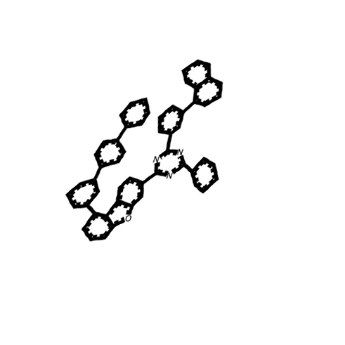 c1ccc(-c2ccc(-c3cccc(-c4cccc5oc6cc(-c7nc(-c8ccccc8)nc(-c8cccc(-c9cccc%10ccccc9%10)c8)n7)ccc6c45)c3)cc2)cc1